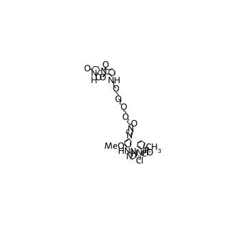 COc1cc(N2CCN(C(=O)CCOCCOCCOCCOCCNc3cccc4c3C(=O)N(C3CCC(=O)NC3=O)C4=O)CC2)ccc1Nc1ncc(Cl)c(Nc2ccccc2P(C)(C)=O)n1